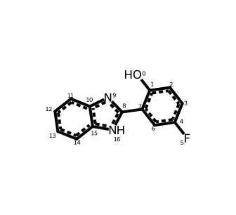 Oc1ccc(F)cc1-c1nc2ccccc2[nH]1